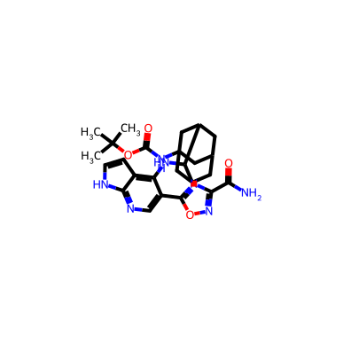 CC(C)(C)OC(=O)NC12CC3CC(C1)C(Nc1c(-c4nc(C(N)=O)no4)cnc4[nH]ccc14)C(C3)C2